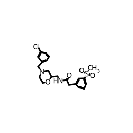 CS(=O)(=O)c1cccc(CC(=O)NCC2CN(Cc3cccc(Cl)c3)CCO2)c1